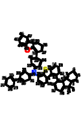 CC1(C)c2ccccc2-c2c(-c3cccc4sc5c(N(c6ccc(-c7ccccc7)cc6)c6ccc(-c7cccc8c7oc7ccccc78)cc6)cccc5c34)cccc21